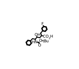 CC(C)(C)OC(=O)NC(Cc1ccccc1)C(O)CC(Cc1cccc(F)c1)C(=O)O